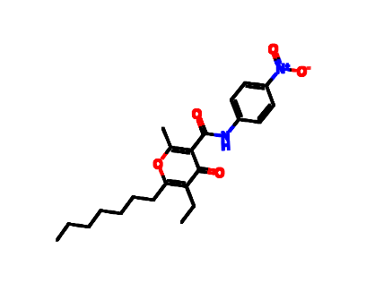 CCCCCCCc1oc(C)c(C(=O)Nc2ccc([N+](=O)[O-])cc2)c(=O)c1CC